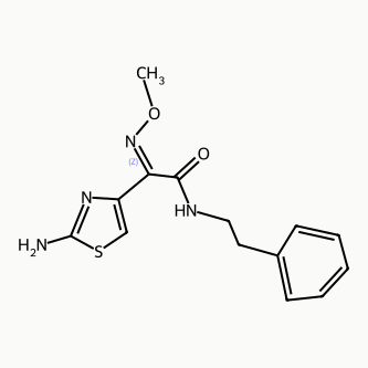 CO/N=C(\C(=O)NCCc1ccccc1)c1csc(N)n1